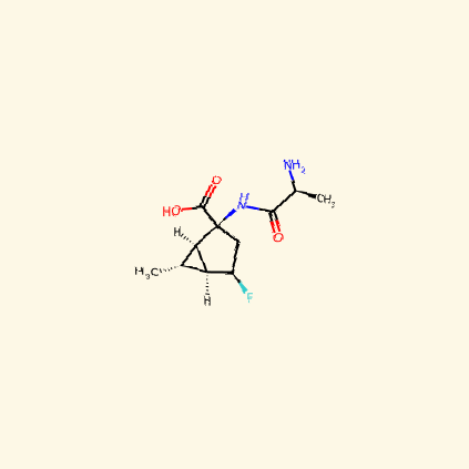 C[C@H]1[C@H]2[C@@H]1[C@](NC(=O)[C@H](C)N)(C(=O)O)C[C@H]2F